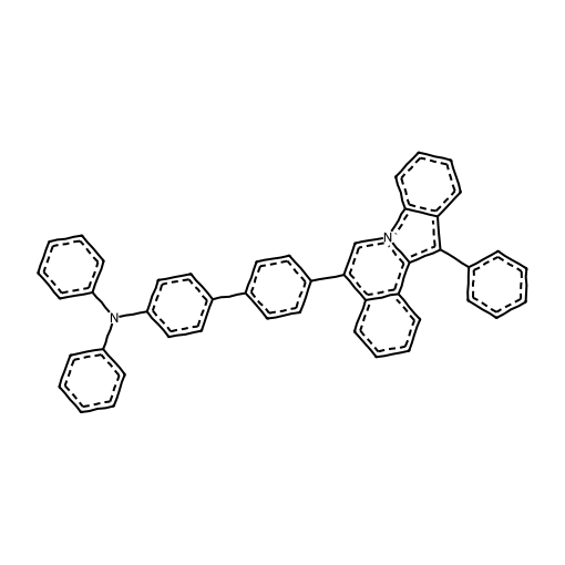 c1ccc(-c2c3ccccc3n3cc(-c4ccc(-c5ccc(N(c6ccccc6)c6ccccc6)cc5)cc4)c4ccccc4c23)cc1